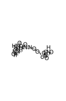 COc1cc(C(=O)NC2CCN(CCOCCOCC#Cc3cccc4c3C(=O)N(C3CCC(=O)NC3=O)C4=O)CC2)c(F)cc1Nc1ncc2c(n1)N(C1CCCC1)CC(F)(F)C(=O)N2C